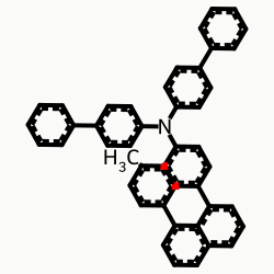 Cc1ccc(-c2cccc3cccc(-c4ccc(N(c5ccc(-c6ccccc6)cc5)c5ccc(-c6ccccc6)cc5)cc4)c23)cc1